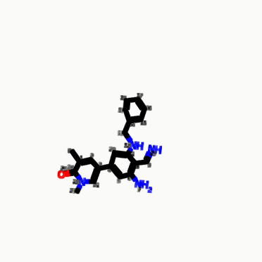 Cc1cc(-c2cc(N)c(C=N)c(NCc3ccccc3)c2)cn(C)c1=O